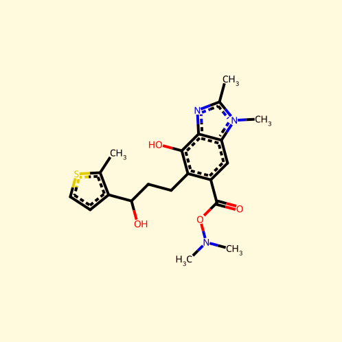 Cc1sccc1C(O)CCc1c(C(=O)ON(C)C)cc2c(nc(C)n2C)c1O